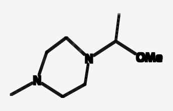 COC(C)N1CCN(C)CC1